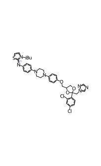 CCC(C)n1ccs/c1=N/c1ccc(N2CCN(c3ccc(OCC4COC(Cn5cncn5)(c5ccc(Cl)cc5Cl)O4)cc3)CC2)cc1